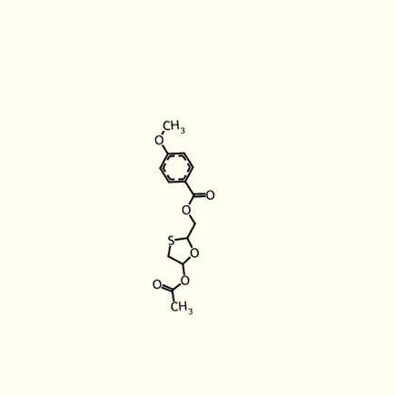 COc1ccc(C(=O)OCC2OC(OC(C)=O)CS2)cc1